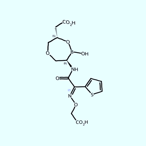 O=C(O)CO/N=C(/C(=O)N[C@H]1COC[C@H](CC(=O)O)OB1O)c1cccs1